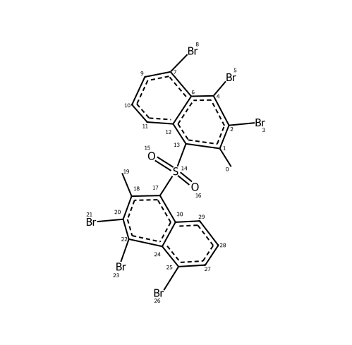 Cc1c(Br)c(Br)c2c(Br)cccc2c1S(=O)(=O)c1c(C)c(Br)c(Br)c2c(Br)cccc12